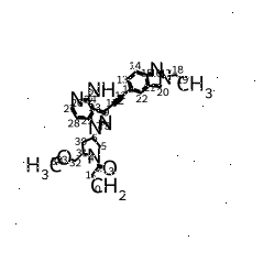 C=CC(=O)N1C[C@@H](n2nc(C#Cc3ccc4nn(CC)cc4c3)c3c(N)nccc32)C[C@@H]1COC